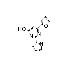 Oc1cc(-c2ccco2)nc(-c2nccs2)n1